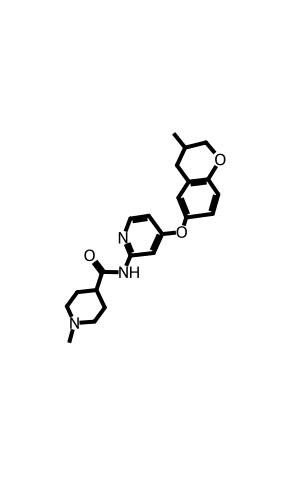 CC1COc2ccc(Oc3ccnc(NC(=O)C4CCN(C)CC4)c3)cc2C1